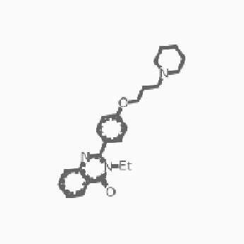 CCn1c(-c2ccc(OCCCN3CCCCC3)cc2)nc2ccccc2c1=O